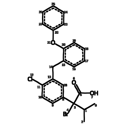 CC(C)C(Br)(C(=O)O)c1ccc(Cl)c(Cc2ccccc2Oc2ccccc2)c1